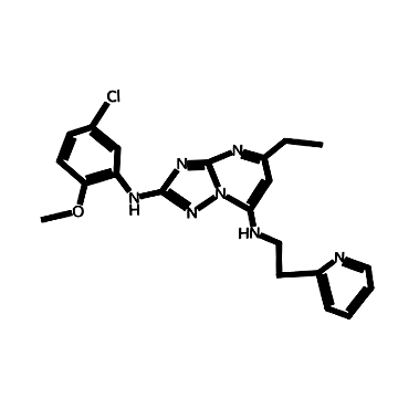 CCc1cc(NCCc2ccccn2)n2nc(Nc3cc(Cl)ccc3OC)nc2n1